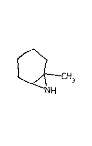 CC12CCCCC1N2